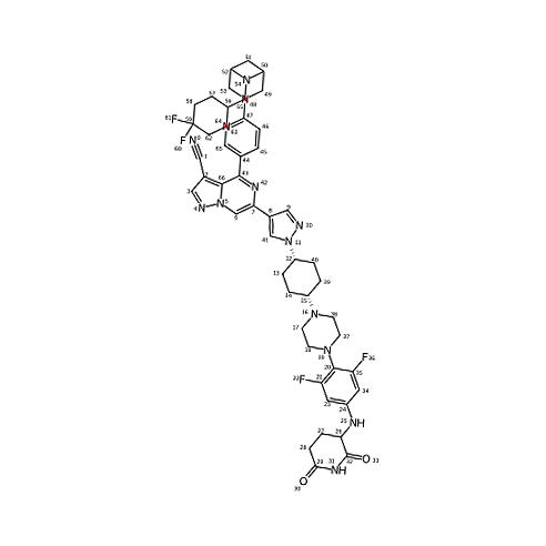 N#Cc1cnn2cc(-c3cnn([C@H]4CC[C@@H](N5CCN(c6c(F)cc(NC7CCC(=O)NC7=O)cc6F)CC5)CC4)c3)nc(-c3ccc(N4CC5CC(C4)N5CC4CCC(F)(F)CC4)nc3)c12